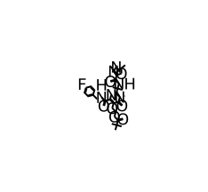 Cc1nnc(C(=O)NC(C)(C)c2nc(C(=O)NCc3ccc(F)cc3)c(OCOC(=O)C(C)(C)C)c(=O)n2C)o1